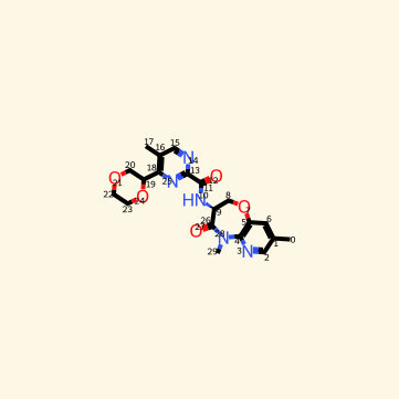 Cc1cnc2c(c1)OC[C@H](NC(=O)c1ncc(C)c(C3COCCO3)n1)C(=O)N2C